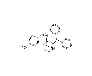 COc1ccc(/C=N\C2C3CCN(CC3)C2C(c2ccccc2)c2ccccc2)cc1